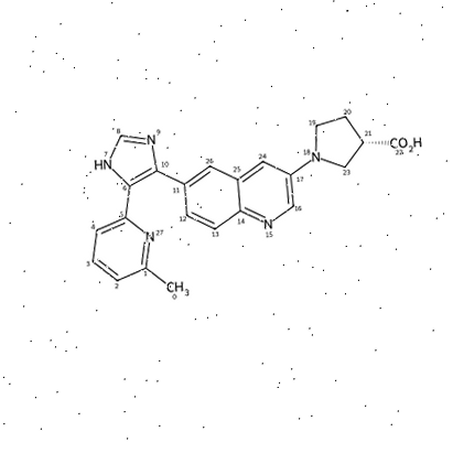 Cc1cccc(-c2[nH]cnc2-c2ccc3ncc(N4CC[C@H](C(=O)O)C4)cc3c2)n1